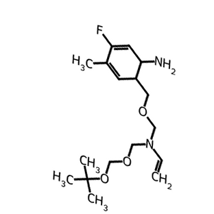 C=CN(COCOC(C)(C)C)COCC1C=C(C)C(F)=CC1N